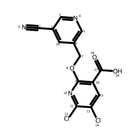 N#Cc1cncc(COc2nc(Cl)c(Cl)cc2C(=O)O)c1